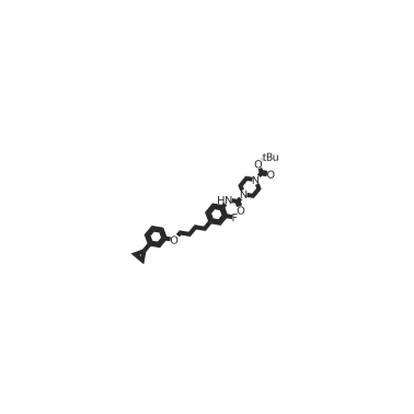 CC(C)(C)OC(=O)N1CCN(C(=O)Nc2ccc(CCCCOc3cccc(C4CC4)c3)cc2F)CC1